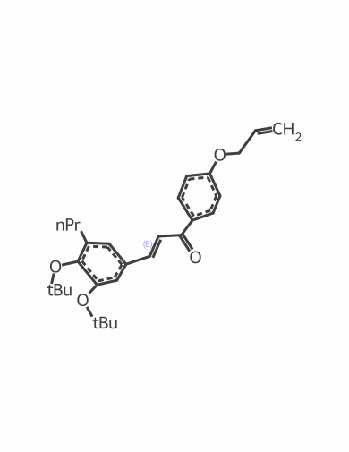 C=CCOc1ccc(C(=O)/C=C/c2cc(CCC)c(OC(C)(C)C)c(OC(C)(C)C)c2)cc1